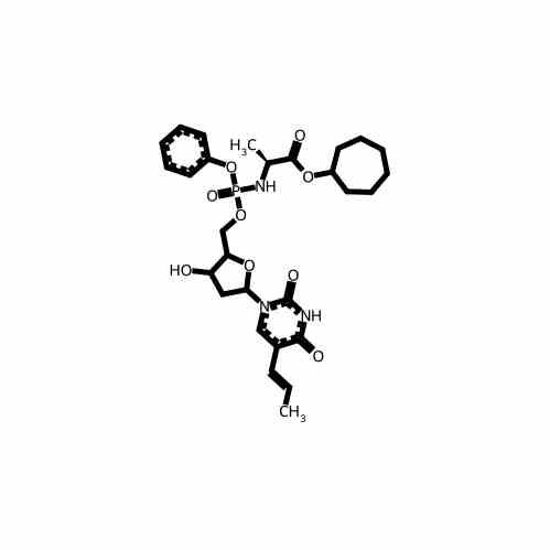 C/C=C/c1cn(C2CC(O)C(COP(=O)(N[C@@H](C)C(=O)OC3CCCCCC3)Oc3ccccc3)O2)c(=O)[nH]c1=O